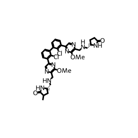 COc1nc(-c2cccc(-c3cccc(-c4cnc(CNC[C@@H]5CC(C)C(=O)N5)c(OC)n4)c3Cl)c2Cl)cnc1CNC[C@@H]1CCC(=O)N1